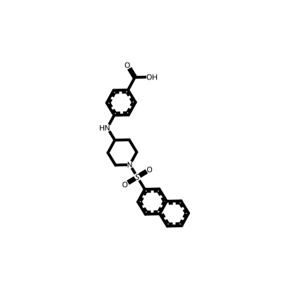 O=C(O)c1ccc(NC2CCN(S(=O)(=O)c3ccc4ccccc4c3)CC2)cc1